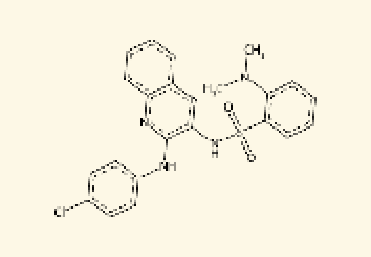 CN(C)c1ccccc1S(=O)(=O)Nc1nc2ccccc2nc1Nc1ccc(Cl)cc1